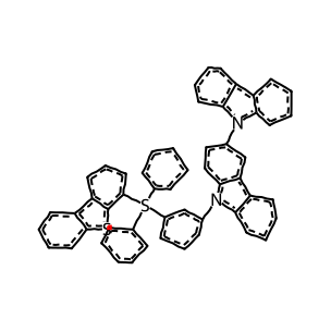 c1ccc(S(c2ccccc2)(c2cccc(-n3c4ccccc4c4cc(-n5c6ccccc6c6ccccc65)ccc43)c2)c2cccc3c2sc2ccccc23)cc1